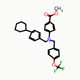 COC(=O)c1ccc(N(Cc2ccc(OC(F)(F)F)cc2)Cc2ccc(C3CCCCC3)cc2)cc1